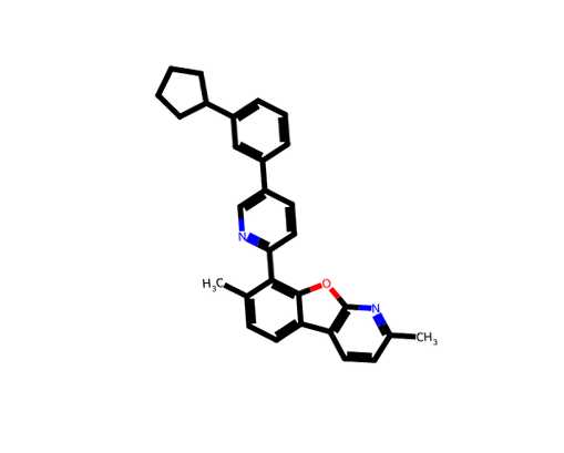 Cc1ccc2c(n1)oc1c(-c3ccc(-c4cccc(C5CCCC5)c4)cn3)c(C)ccc12